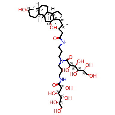 C[C@H](CCC(=O)[N]CCCN(CCCNC(=O)[C@H](O)[C@@H](O)[C@H](O)[C@H](O)CO)C(=O)[C@H](O)[C@@H](O)[C@H](O)[C@H](O)CO)[C@H]1CC[C@H]2[C@@H]3CC[C@@H]4C[C@H](O)CC[C@]4(C)[C@H]3C[C@H](O)[C@]12C